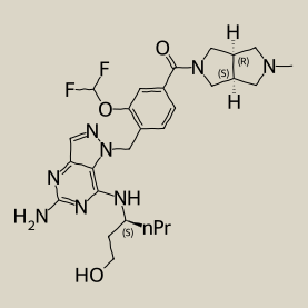 CCC[C@@H](CCO)Nc1nc(N)nc2cnn(Cc3ccc(C(=O)N4C[C@H]5CN(C)C[C@H]5C4)cc3OC(F)F)c12